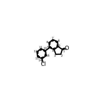 O=C1CCc2c1cccc2-c1cccc(Cl)c1